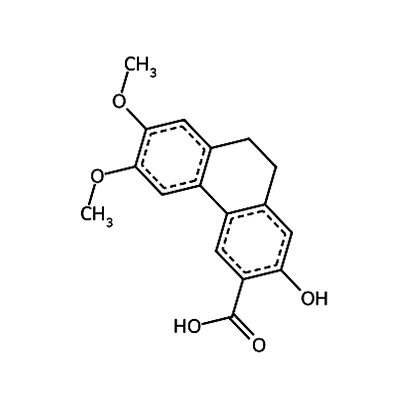 COc1cc2c(cc1OC)-c1cc(C(=O)O)c(O)cc1CC2